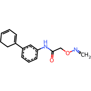 C=NOCC(=O)Nc1cccc(C2=CC=CCC2)c1